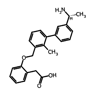 Cc1c(COc2ccccc2CC(=O)O)cccc1-c1cccc([C@@H](C)N)c1